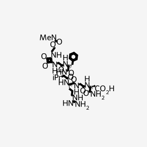 CNC(=O)OCCNc1c(NCC(=O)N[C@H](Cc2ccccc2)C(=O)NC(C(=O)N[C@@H](CCCNC(=N)N)C(=O)NCC(=O)N[C@@H](CC(=O)O)C(N)=O)C(C)C)c(=O)c1=O